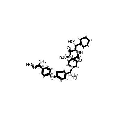 CCCCN1C(=O)[C@@H]([C@H](O)C2CCCCC2)NC(=O)C12CCN(Cc1ccc(Oc3ccc(/C(N)=N/O)cc3)cc1)CC2.Cl.Cl